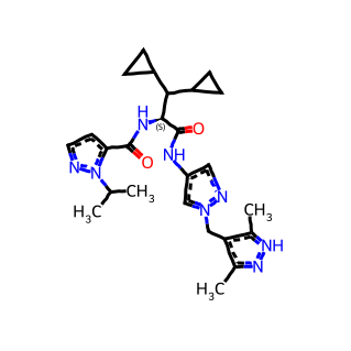 Cc1n[nH]c(C)c1Cn1cc(NC(=O)[C@@H](NC(=O)c2ccnn2C(C)C)C(C2CC2)C2CC2)cn1